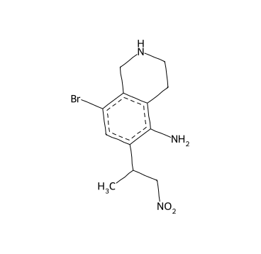 CC(C[N+](=O)[O-])c1cc(Br)c2c(c1N)CCNC2